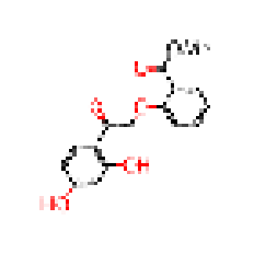 COC(=O)c1ccccc1OCC(=O)c1ccc(O)cc1O